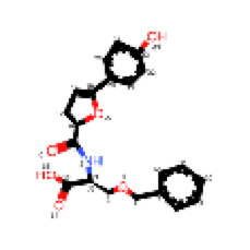 O=C(N[C@@H](COCc1ccccc1)C(=O)O)C1CC=C(c2ccc(O)cc2)O1